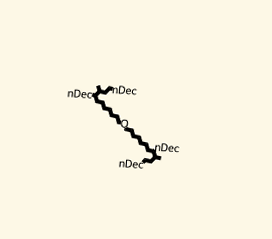 CCCCCCCCCCCCC(C)C(CCCCCCCCCC)CCCCCCCOCCCCCCCC(CCCCCCCCCC)C(C)CCCCCCCCCCCC